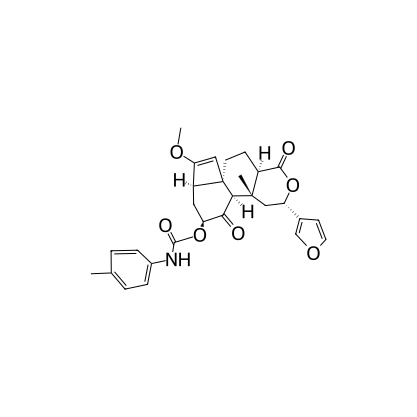 COC1=C[C@@]23CC[C@H]4C(=O)O[C@H](c5ccoc5)C[C@]4(C)[C@H]2C(=O)[C@@H](OC(=O)Nc2ccc(C)cc2)C[C@@H]13